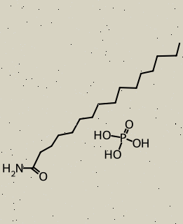 CCCCCCCCCCCCCCCC(N)=O.O=P(O)(O)O